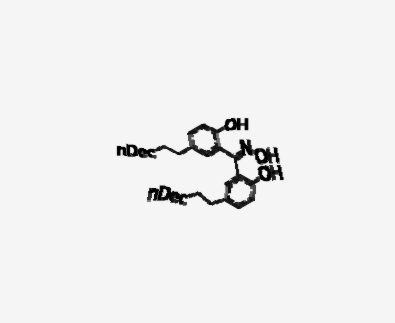 CCCCCCCCCCCCc1ccc(O)c(C(=NO)c2cc(CCCCCCCCCCCC)ccc2O)c1